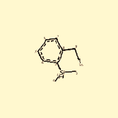 C[SiH](C)c1ccccc1CI